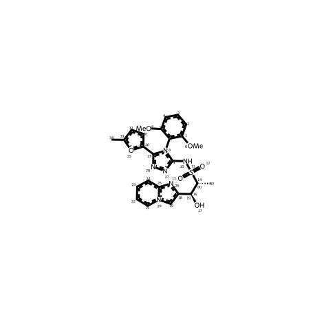 COc1cccc(OC)c1-n1c(NS(=O)(=O)[C@H](C)[C@@H](O)c2cn3ccccc3n2)nnc1-c1ccc(C)o1